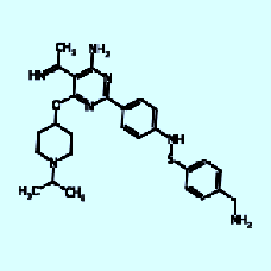 CC(=N)c1c(N)nc(-c2ccc(NSc3ccc(CN)cc3)cc2)nc1OC1CCN(C(C)C)CC1